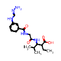 CCC(C(=O)O)C(NC(=O)CNC(=O)c1cccc(NC=NN)c1)C(C)C